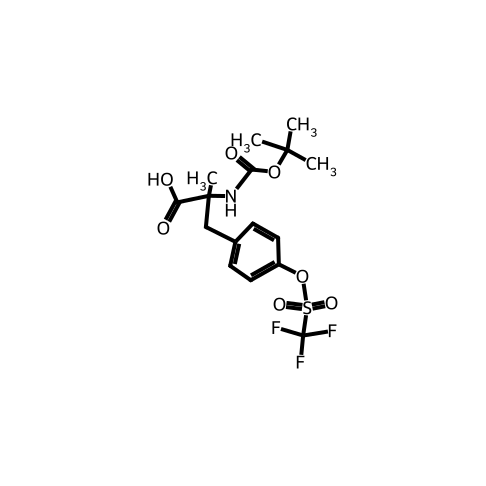 CC(C)(C)OC(=O)NC(C)(Cc1ccc(OS(=O)(=O)C(F)(F)F)cc1)C(=O)O